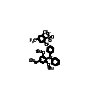 CC(C)(C)Oc1cc(OC(C)(C)C)c([S+](c2ccccc2)c2ccccc2)c(OC(C)(C)C)c1.O=S(=O)([O-])c1c(C(F)(F)F)cc(C(F)(F)F)cc1C(F)(F)F